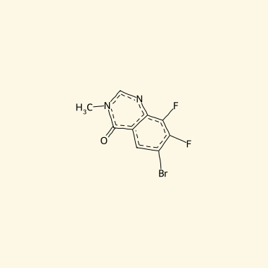 Cn1cnc2c(F)c(F)c(Br)cc2c1=O